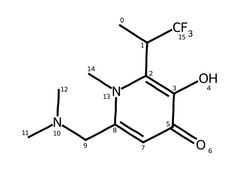 CC(c1c(O)c(=O)cc(CN(C)C)n1C)C(F)(F)F